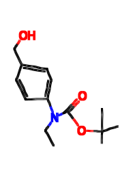 CCN(C(=O)OC(C)(C)C)c1ccc(CO)cc1